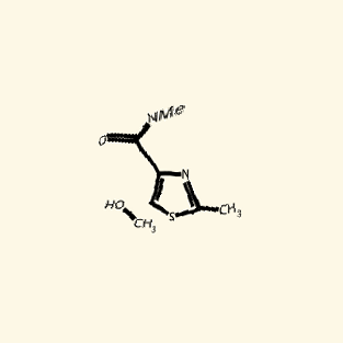 CNC(=O)c1csc(C)n1.CO